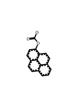 [O]C(=O)Oc1ccc2ccc3cccc4ccc1c2c34